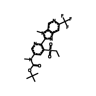 CCS(=O)(=O)c1cc(N(C)C(=O)OC(C)(C)C)cnc1-c1nc2cc(C(F)(F)F)ncc2n1C